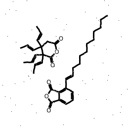 CC=CC1(C=CC)CC(=O)OC(=O)C1(C=CC)C=CC.CCCCCCCCCCC=Cc1cccc2c1C(=O)OC2=O